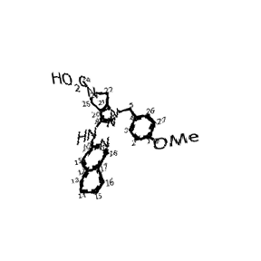 COc1ccc(Cn2nc(Nc3cc4ccccc4cn3)c3c2CN(C(=O)O)C3)cc1